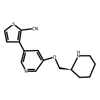 N#Cc1sccc1-c1cncc(OC[C@@H]2CCCCN2)c1